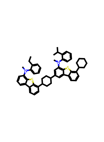 CCc1ccccc1N(C)c1cccc2c1sc1c(C3CCC(c4cc(N(C)c5ccccc5C(C)C)c5sc6c(C7CCCCC7)cccc6c5c4)CC3)cccc12